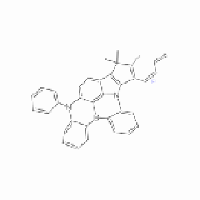 C=C/C=C\C1=C(C)C(C)(C)c2c1n1c3c4c(ccc23)N(c2ccccc2)c2ccccc2B4c2ccccc2-1